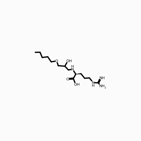 CCCCCOCC(O)CN[C@@H](CCCNC(=N)N)C(=O)O